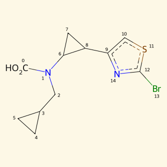 O=C(O)N(CC1CC1)C1CC1c1csc(Br)n1